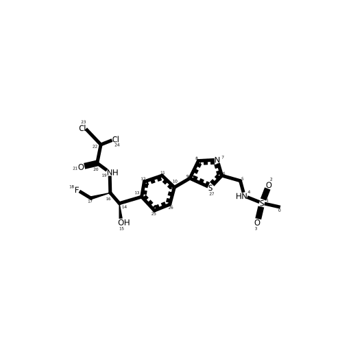 CS(=O)(=O)NCc1ncc(-c2ccc([C@@H](O)[C@@H](CF)NC(=O)C(Cl)Cl)cc2)s1